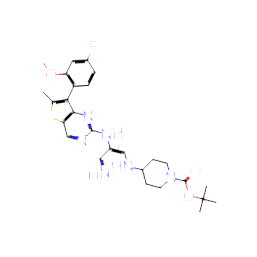 COc1cc(F)ccc1-c1c(C)sc2cnc(N/C(C=N)=C/NC3CCN(C(=O)OC(C)(C)C)CC3)nc12